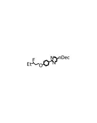 CCCCCCCCCCc1cnc(-c2ccc(OCCC(F)CC)cc2)nc1